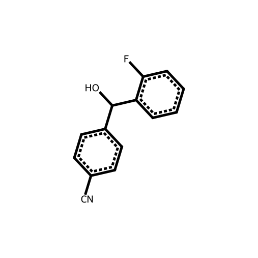 N#Cc1ccc(C(O)c2ccccc2F)cc1